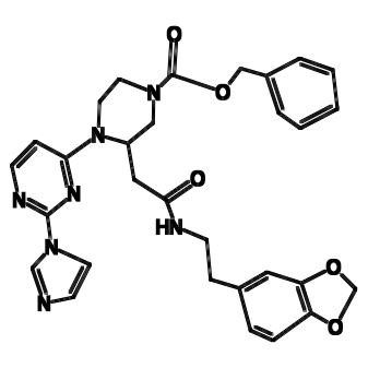 O=C(CC1CN(C(=O)OCc2ccccc2)CCN1c1ccnc(-n2ccnc2)n1)NCCc1ccc2c(c1)OCO2